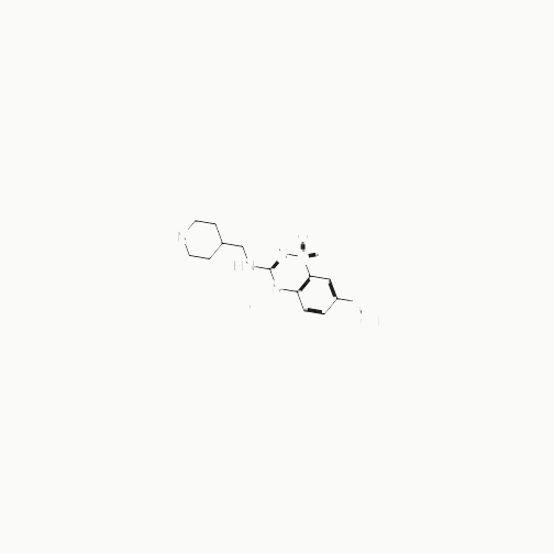 COc1ccc2c(c1)S(=O)(=O)N=C(NCC1CCNCC1)N2.Cl